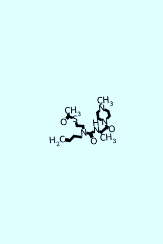 C=CCCN(CCSC(C)=O)C(=O)N[C@@H](C)C(=O)N1CCN(C)CC1